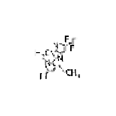 CCSc1cc(Cl)cnc1-c1nc2cc(C(F)(F)F)cnc2n1C